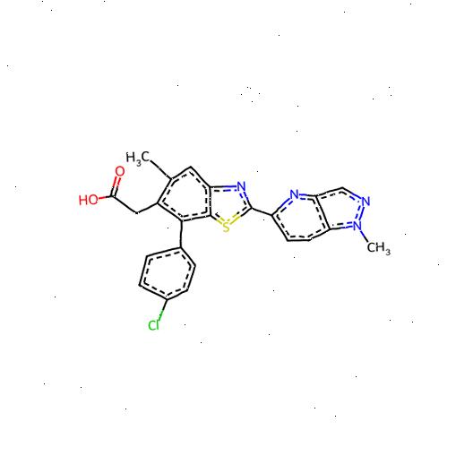 Cc1cc2nc(-c3ccc4c(cnn4C)n3)sc2c(-c2ccc(Cl)cc2)c1CC(=O)O